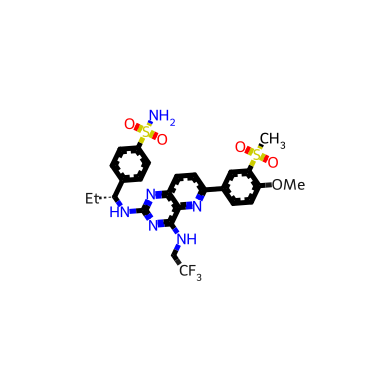 CC[C@@H](Nc1nc(NCC(F)(F)F)c2nc(-c3ccc(OC)c(S(C)(=O)=O)c3)ccc2n1)c1ccc(S(N)(=O)=O)cc1